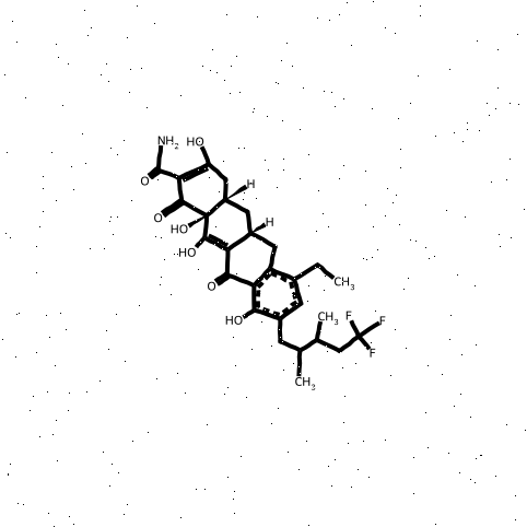 CCc1cc(CC(C)C(C)CC(F)(F)F)c(O)c2c1C[C@H]1C[C@H]3CC(O)=C(C(N)=O)C(=O)[C@@]3(O)C(O)=C1C2=O